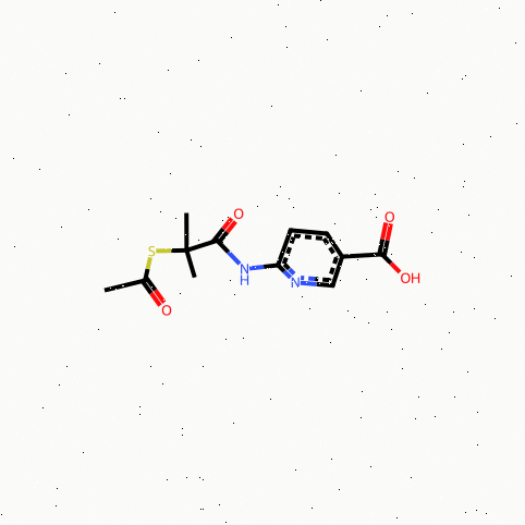 CC(=O)SC(C)(C)C(=O)Nc1ccc(C(=O)O)cn1